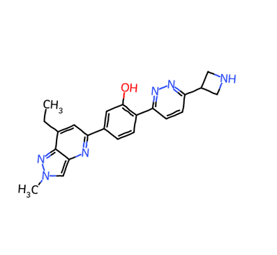 CCc1cc(-c2ccc(-c3ccc(C4CNC4)nn3)c(O)c2)nc2cn(C)nc12